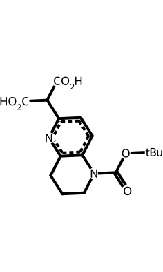 CC(C)(C)OC(=O)N1CCCc2nc(C(C(=O)O)C(=O)O)ccc21